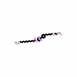 C=CCCCCCCCCCC(=O)Oc1cnc(-c2ccc(CCCCCOCCC)cc2)nc1